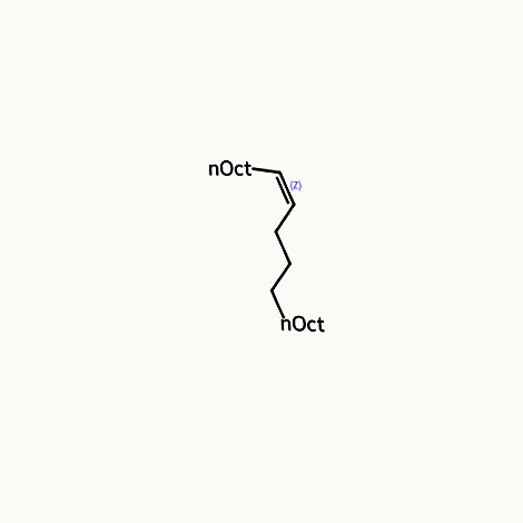 CCCCCCCC/C=C\CCCCCCCCCCC